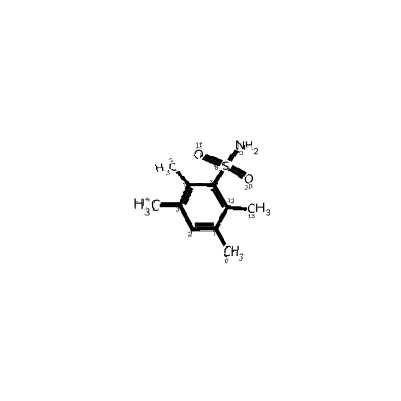 Cc1cc(C)c(C)c(S(N)(=O)=O)c1C